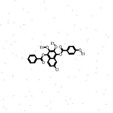 CCOc1ccc(C(=O)Oc2c(OCC)c(OCC)c(OC(=O)c3ccccc3)c3ccc(Cl)cc23)cc1